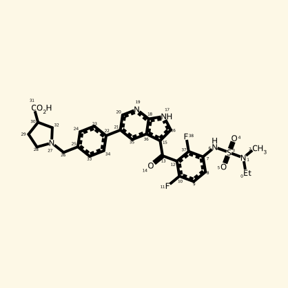 CCN(C)S(=O)(=O)Nc1ccc(F)c(C(=O)c2c[nH]c3ncc(-c4ccc(CN5CCC(C(=O)O)C5)cc4)cc23)c1F